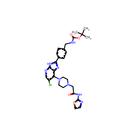 CC(C)(C)OC(=O)NCc1ccc(-c2nc3c(N4CCN(CC(=O)Nc5nccs5)CC4)c(Br)cnc3[nH]2)cc1